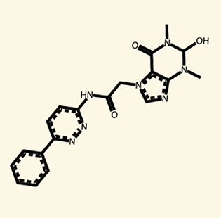 CN1C(=O)c2c(ncn2CC(=O)Nc2ccc(-c3ccccc3)nn2)N(C)C1O